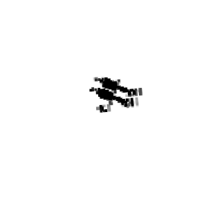 Cl.N#CO.N#CO